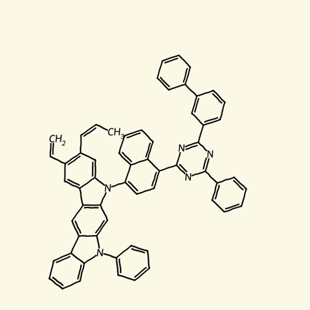 C=Cc1cc2c3cc4c5ccccc5n(-c5ccccc5)c4cc3n(-c3ccc(-c4nc(-c5ccccc5)nc(-c5cccc(-c6ccccc6)c5)n4)c4ccccc34)c2cc1/C=C\C